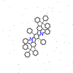 c1ccc(-c2c3c4cc5c(c6c7ccccc7n(c3c(-c3ccccc3)c3c7cc8c(c9c%10ccccc%10n(c23)c79)C(c2ccccc2)(c2ccccc2)c2ccccc2-8)c46)C(c2ccccc2)(c2ccccc2)c2ccccc2-5)cc1